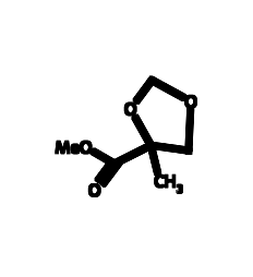 COC(=O)C1(C)COCO1